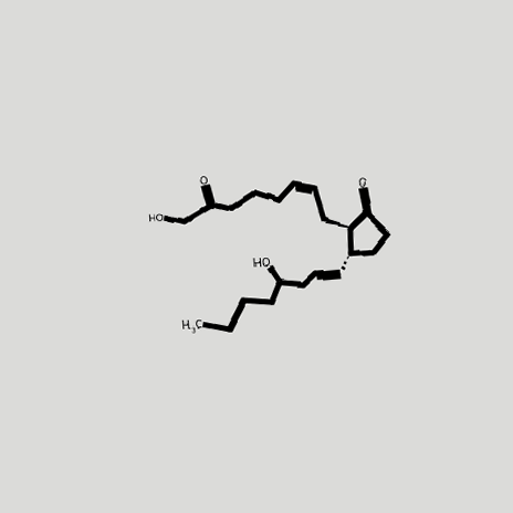 CCCCC(O)C/C=C/[C@H]1CCC(=O)[C@@H]1C/C=C\CCCC(=O)CO